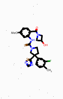 COc1ccc(C(=O)N2CC(O)C2)c(NC(=S)N2CCC(c3ccc(C)c(F)c3)(c3ncns3)C2)c1